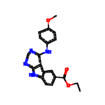 CCOC(=O)c1ccc2[nH]c3ncnc(Nc4ccc(OC)cc4)c3c2c1